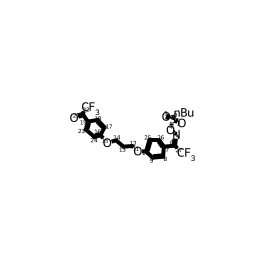 CCCCS(=O)(=O)O/N=C(\c1ccc(OCCCOc2ccc(C(=O)C(F)(F)F)cc2)cc1)C(F)(F)F